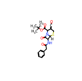 CC(C)(C)OC(=O)C1C(=C=O)CS[C@@H]2C(NC(=O)Cc3ccccc3)C(=O)N12